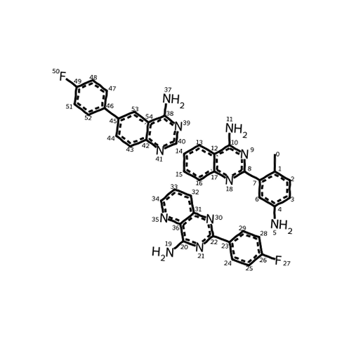 Cc1ccc(N)cc1-c1nc(N)c2ccccc2n1.Nc1nc(-c2ccc(F)cc2)nc2cccnc12.Nc1ncnc2ccc(-c3ccc(F)cc3)cc12